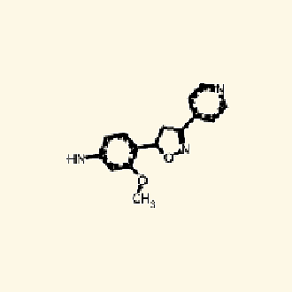 COc1cc([NH])ccc1C1CC(c2ccncc2)=NO1